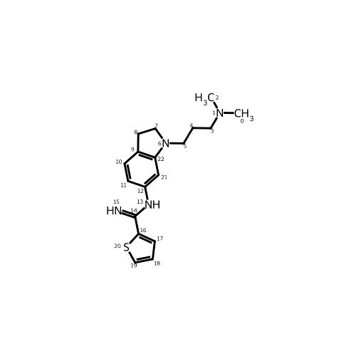 CN(C)CCCN1CCc2ccc(NC(=N)c3cccs3)cc21